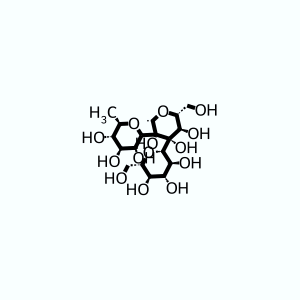 C[C@H]1OC([C@]2(O)[CH]O[C@H](CO)[C@@H](O)[C@@]2(O)[C@H]2O[C@@H](CO)[C@H](O)[C@@H](O)[C@@H]2O)[C@H](O)[C@@H](O)[C@@H]1O